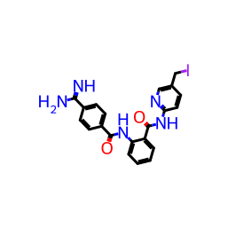 N=C(N)c1ccc(C(=O)Nc2ccccc2C(=O)Nc2ccc(CI)cn2)cc1